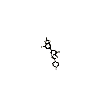 Cc1nc2c(F)cc(-c3cc(F)c4nc(C5CCNCC5)cn4c3)cc2s1